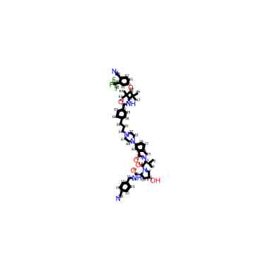 CC(C)[C@@H](C(=O)N1C[C@H](O)C[C@H]1C(=O)NCc1ccc(C#N)cc1)N1Cc2ccc(N3CCN(CCCc4ccc(C(=O)NC5C(C)(C)C(Oc6ccc(C#N)c(C(F)(F)F)c6)C5(C)C)cc4)CC3)cc2C1=O